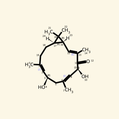 C/C1=C/[C@H](O)C/C(C)=C/[C@H](O)C(=O)/C(C)=C/[C@H]2[C@@H](CC1)C2(C)C